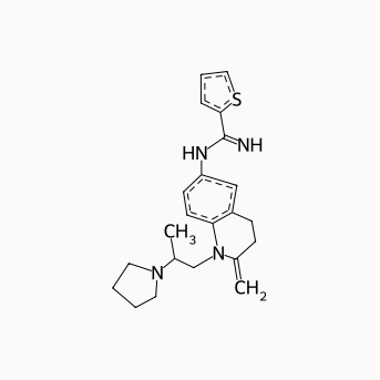 C=C1CCc2cc(NC(=N)c3cccs3)ccc2N1CC(C)N1CCCC1